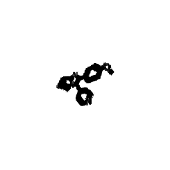 COc1ccc(-c2nc3n(c2-c2ccncc2)CCC3)cc1